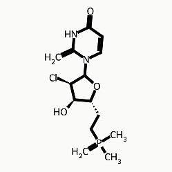 C=C1NC(=O)C=CN1C1O[C@H](CCP(=C)(C)C)[C@@H](O)[C@H]1Cl